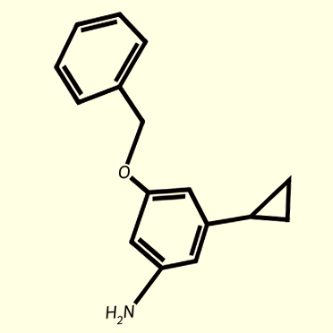 Nc1cc(OCc2ccccc2)cc(C2CC2)c1